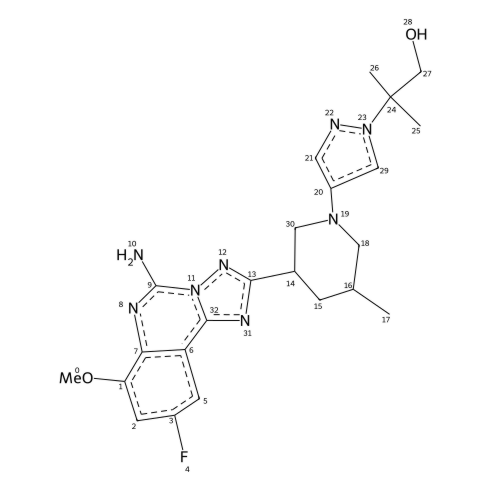 COc1cc(F)cc2c1nc(N)n1nc(C3CC(C)CN(c4cnn(C(C)(C)CO)c4)C3)nc21